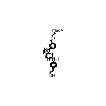 COCCOCc1cccc(-n2nnc3cnc(Nc4ccc(CCO)cc4)nc32)c1